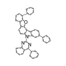 c1ccc(-c2ccc3c4c5oc6c(-c7ccccc7)cccc6c5ccc4n(-c4nc(-c5ccccc5)c5ccccc5n4)c3c2)cc1